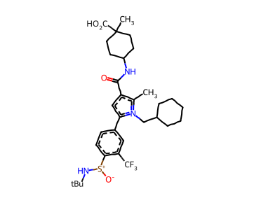 Cc1c(C(=O)NC2CCC(C)(C(=O)O)CC2)cc(-c2ccc([S+]([O-])NC(C)(C)C)c(C(F)(F)F)c2)n1CC1CCCCC1